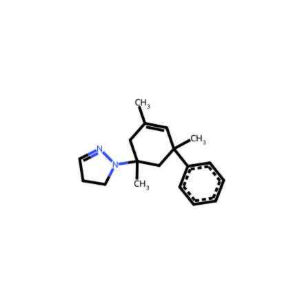 CC1=CC(C)(c2ccccc2)CC(C)(N2CCC=N2)C1